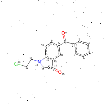 O=C(c1ccccc1)c1ccc2c(c1)[Se](=O)CN2CCCl